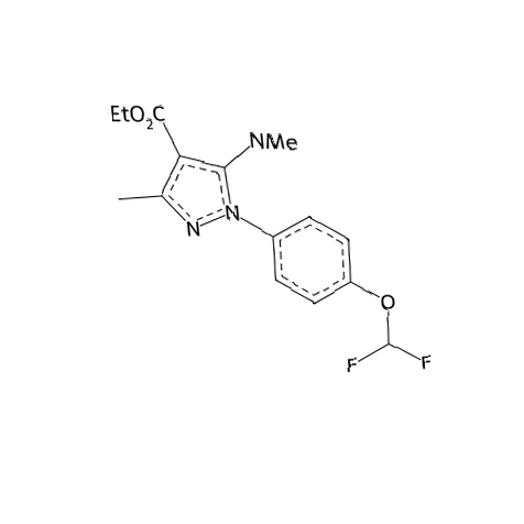 CCOC(=O)c1c(C)nn(-c2ccc(OC(F)F)cc2)c1NC